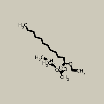 C=C.C=COC(=O)CCCCCCCCCCC.C=COC(C)=O